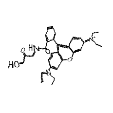 CCN(CC)c1ccc2c(-c3ccccc3C(=O)NCC(=O)CO)c3ccc(=[N+](CC)CC)cc-3oc2c1